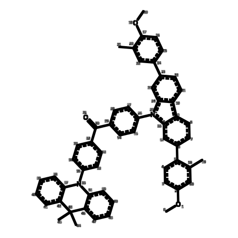 COc1ccc(-c2ccc3c4ccc(-c5ccc(OC)c(C)c5)cc4n(-c4ccc(C(=O)c5ccc(N6c7ccccc7C(C)(C)c7ccccc76)cc5)cc4)c3c2)c(C)c1